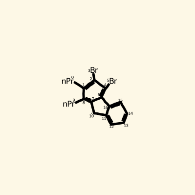 CCCc1c(Br)c(Br)c2c(c1CCC)[CH]c1ccccc1-2